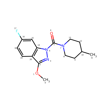 COc1nn(C(=O)N2CCC(C)CC2)c2cc(F)ccc12